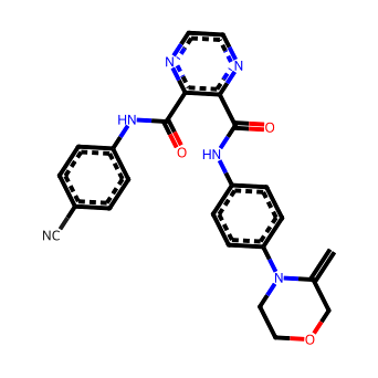 C=C1COCCN1c1ccc(NC(=O)c2nccnc2C(=O)Nc2ccc(C#N)cc2)cc1